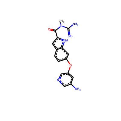 CN(C(=N)N)C(=O)c1cc2ccc(Oc3cncc(N)c3)cc2[nH]1